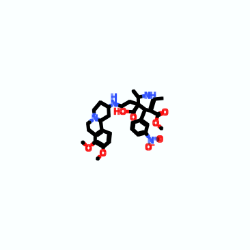 COC(=O)C1=C(C)NC(C)C(CCNC2CCN3CCc4c(ccc(OC)c4OC)C3C2)(C(=O)O)C1c1cccc([N+](=O)[O-])c1